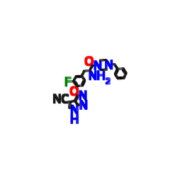 N#Cc1c[nH]c2ncnc(Oc3ccc(CC(N)C(=O)N4CCN(Cc5ccccc5)CC4)cc3F)c12